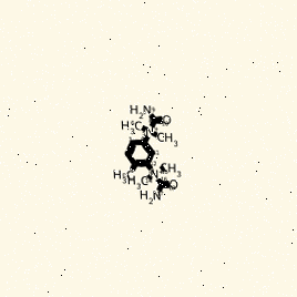 Cc1ccc([N+](C)(C)C(N)=O)cc1[N+](C)(C)C(N)=O